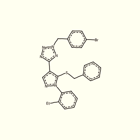 CCc1ccccc1-n1ncc(-c2nnn(Cc3ccc(Br)cc3)n2)c1SCc1ccccc1